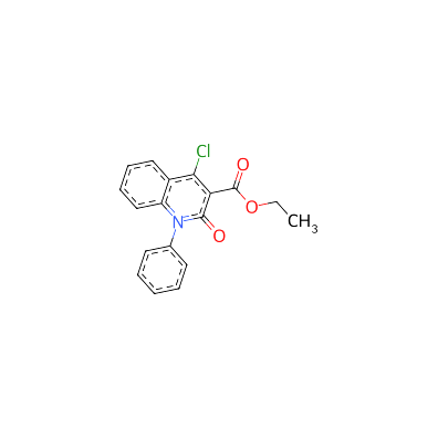 CCOC(=O)c1c(Cl)c2ccccc2n(-c2ccccc2)c1=O